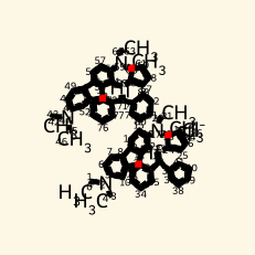 CCN(CC)c1ccc2c(c1)Cc1c-2ccc(N(CC)CC)[c]1[Hf]([C]1=CC=CC1)=[C](c1ccccc1)c1ccccc1.CCN(CC)c1ccc2c(c1)Cc1c-2ccc(N(CC)CC)[c]1[Hf]([C]1=CC=CC1)=[C](c1ccccc1)c1ccccc1.[Cl-].[Cl-]